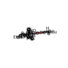 CCOc1ccc(C(=O)N2CCN(c3ccc(-c4cccnc4OCC)nc3CN(CCCOCCOCCOCCOCCNC(=O)OC(C)(C)C)S(=O)(=O)c3ccccc3[N+](=O)[O-])[C@H](CC)C2)c(C(F)(F)F)n1